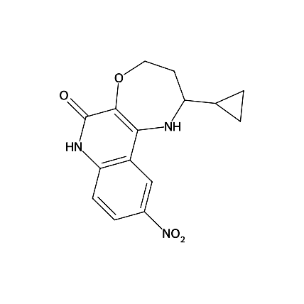 O=c1[nH]c2ccc([N+](=O)[O-])cc2c2c1OCCC(C1CC1)N2